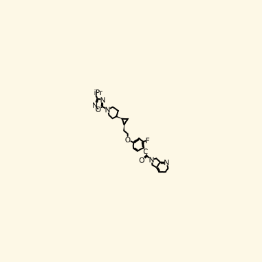 CC(C)c1noc(N2CCC([C@H]3C[C@H]3CCOc3ccc(CC(=O)N4CC5=CCCN=C5C4)c(F)c3)CC2)n1